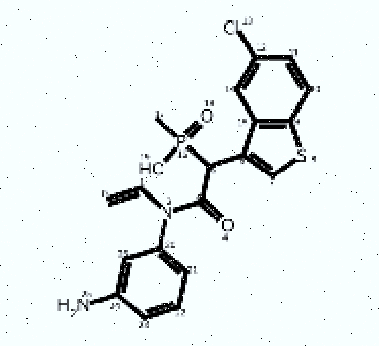 C=CN(C(=O)C(c1csc2ccc(Cl)cc12)P(C)(=O)O)c1cccc(N)c1